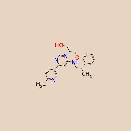 Cc1ccc(-c2cc(NCC(C)c3ccccc3OCCCO)ncn2)cn1